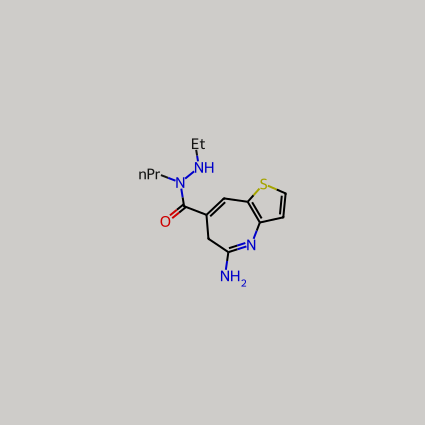 CCCN(NCC)C(=O)C1=Cc2sccc2N=C(N)C1